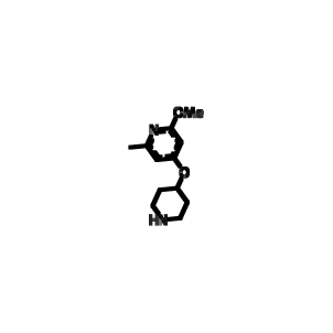 COc1cc(OC2CCNCC2)cc(C)n1